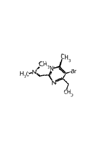 CCc1nc(CN(C)C)nc(C)c1Br